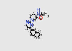 O=C(NC1CCCN(c2nccc(-c3ccc4ccccc4c3)n2)CC1)C(F)(F)F